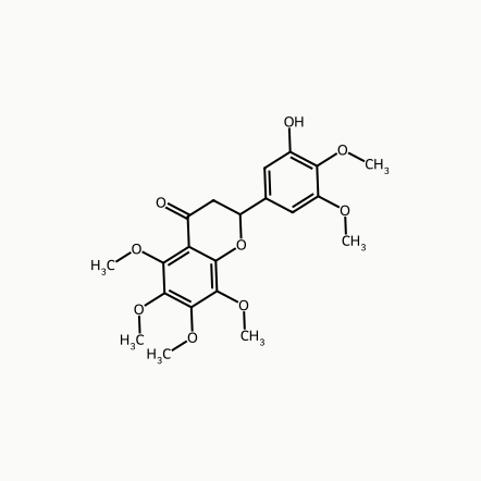 COc1cc(C2CC(=O)c3c(OC)c(OC)c(OC)c(OC)c3O2)cc(O)c1OC